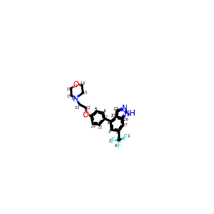 FC(F)(F)c1cc(-c2ccc(OCCN3CCOCC3)cc2)c2cn[nH]c2c1